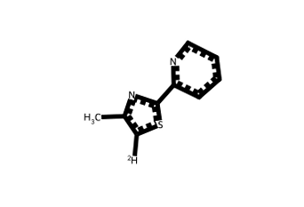 [2H]c1sc(-c2ccccn2)nc1C